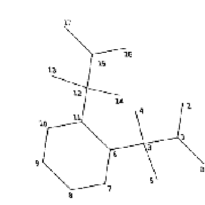 CC(C)C(C)(C)C1CCCCC1C(C)(C)C(C)C